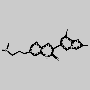 Cc1cn2cc(-c3cc4ccc(CCCN(C)C)cc4oc3=O)cc(F)c2n1